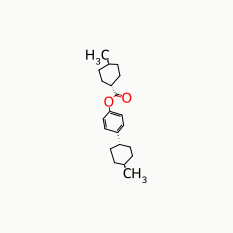 C[C@H]1CC[C@H](C(=O)Oc2ccc([C@H]3CC[C@H](C)CC3)cc2)CC1